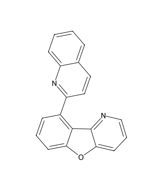 c1ccc2nc(-c3cccc4oc5cccnc5c34)ccc2c1